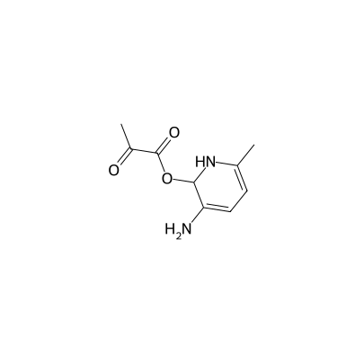 CC(=O)C(=O)OC1NC(C)=CC=C1N